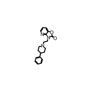 O=c1oc2cccnc2n1CCN1CCC(c2ccccc2)CC1